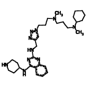 CN(CCCN(C)C1CCCCC1)CCCn1cc(CNc2nc(NC3CCNCC3)c3ccccc3n2)nn1